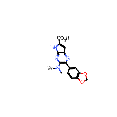 CC(C)N(C)c1nc2[nH]c(C(=O)O)cc2nc1-c1ccc2c(c1)OCO2